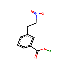 O=C(OF)c1cccc(CC[N+](=O)[O-])c1